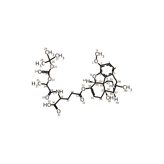 COc1ccc2c3c1O[C@H]1C(OC(=O)CCC(NC(=O)C(C)OC(=O)OC(C)(C)C)C(=O)O)=CC[C@@]4(O)[C@@H](C2)N(C)CC[C@]314